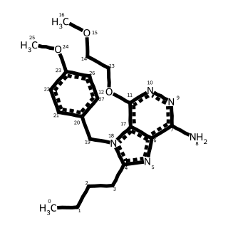 CCCCc1nc2c(N)nnc(OCCOC)c2n1Cc1ccc(OC)cc1